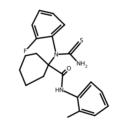 Cc1ccccc1NC(=O)C1(N(C(N)=S)c2ccccc2F)CCCCC1